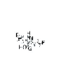 O=C(O)c1c(CC=CF)n[nH]c1CC=CF